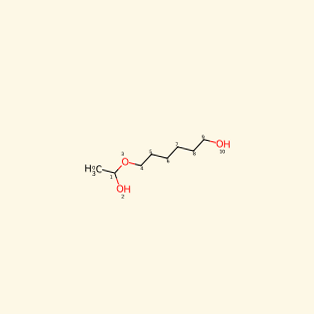 CC(O)OCCCCCCO